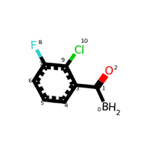 BC(=O)c1cccc(F)c1Cl